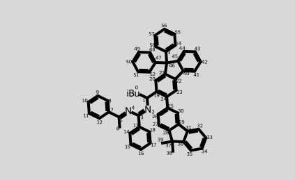 CCC(C)C(/N=C(\N=C(/C)c1ccccc1)c1ccccc1)c1cc2c(cc1-c1ccc3c(c1)-c1ccccc1C3(C)C)-c1ccccc1C2(c1ccccc1)c1ccccc1